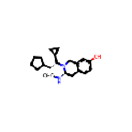 O=CN[C@H]1Cc2ccc(O)cc2CN1[C@H](CC1CCCC1)C1CC1